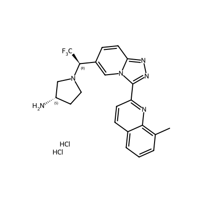 Cc1cccc2ccc(-c3nnc4ccc([C@@H](N5CC[C@H](N)C5)C(F)(F)F)cn34)nc12.Cl.Cl